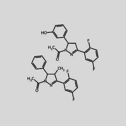 CC(=O)N1N=C(c2cc(F)ccc2F)C(C)C1c1ccccc1.CC(=O)N1N=C(c2cc(F)ccc2F)CC1c1cccc(O)c1